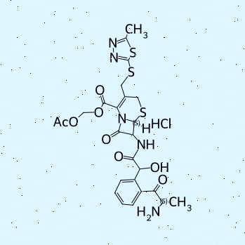 CC(=O)OCOC(=O)C1=C(CSc2nnc(C)s2)CS[C@H]2C(NC(=O)C(O)c3ccccc3C(=O)[C@H](C)N)C(=O)N12.Cl